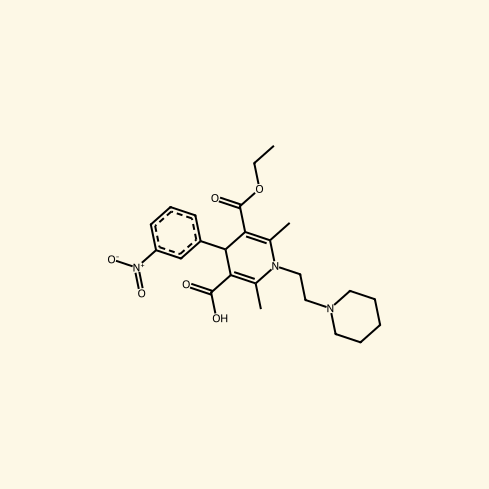 CCOC(=O)C1=C(C)N(CCN2CCCCC2)C(C)=C(C(=O)O)C1c1cccc([N+](=O)[O-])c1